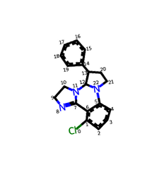 Clc1cccc2c1C1=NCCN1C1C(c3ccccc3)CCN21